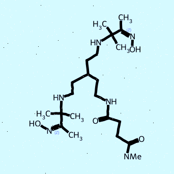 CNC(=O)CCC(=O)NCCC(CCNC(C)(C)/C(C)=N\O)CCNC(C)(C)/C(C)=N\O